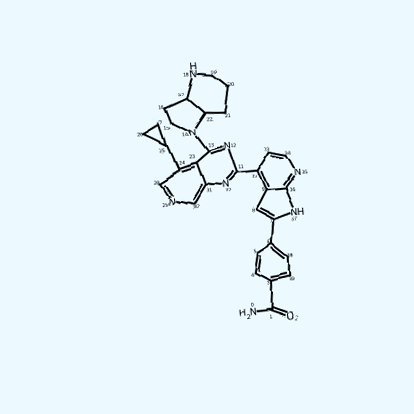 NC(=O)c1ccc(-c2cc3c(-c4nc(N5CCC6NCCCC65)c5c(C6CC6)cncc5n4)ccnc3[nH]2)cc1